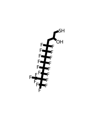 OC(CS)CC(F)(F)C(F)(F)C(F)(F)C(F)(F)C(F)(F)C(F)(F)C(F)(C(F)(F)F)C(F)(F)F